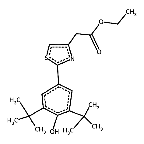 CCOC(=O)Cc1csc(-c2cc(C(C)(C)C)c(O)c(C(C)(C)C)c2)n1